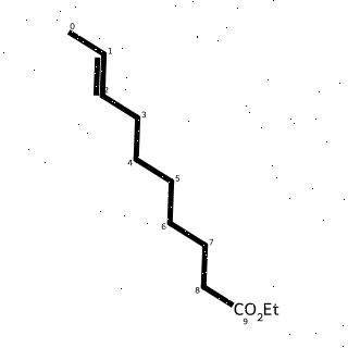 C/C=C/CCCCCCC(=O)OCC